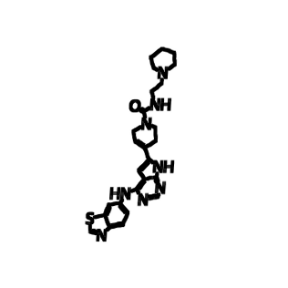 O=C(NCCN1CCCCC1)N1CC=C(c2cc3c(Nc4ccc5ncsc5c4)ncnc3[nH]2)CC1